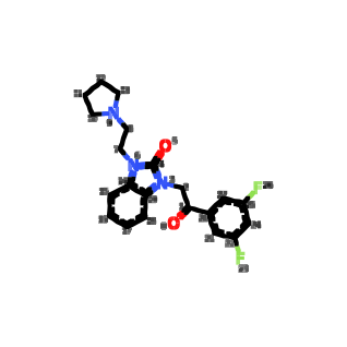 O=C(Cn1c(=O)n(CCN2CCCC2)c2ccccc21)c1cc(F)cc(F)c1